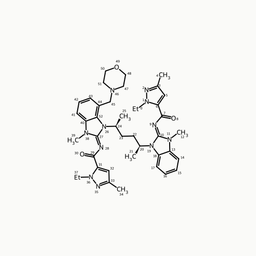 CCn1nc(C)cc1C(=O)/N=c1\n(C)c2ccccc2n1[C@@H](C)CC[C@H](C)n1/c(=N/C(=O)c2cc(C)nn2CC)n(C)c2cccc(CN3CCOCC3)c21